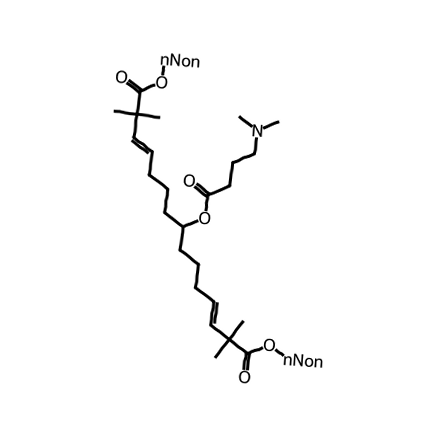 CCCCCCCCCOC(=O)C(C)(C)/C=C/CCCC(CCC/C=C/C(C)(C)C(=O)OCCCCCCCCC)OC(=O)CCCN(C)C